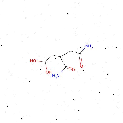 NC(=O)CC(CC(O)O)C(N)=O